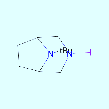 CC(C)(C)N1C2CCC1CN(I)C2